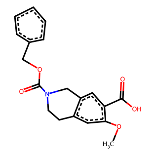 COc1cc2c(cc1C(=O)O)CN(C(=O)OCc1ccccc1)CC2